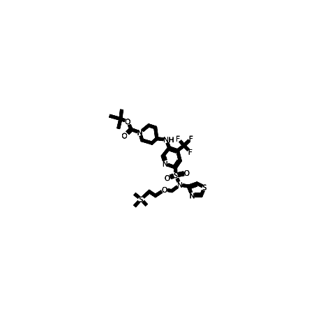 CC(C)(C)OC(=O)N1CCC(Nc2cnc(S(=O)(=O)N(COCCS(C)(C)C)c3cscn3)cc2C(F)(F)F)CC1